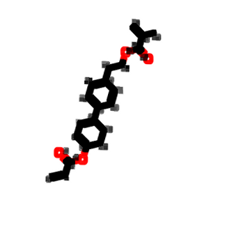 C=CC(=O)OC1=CC=C(c2ccc(CCOC(=O)C(=C)C)cc2)CC1